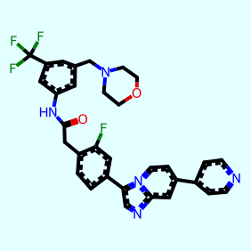 O=C(Cc1ccc(-c2cnc3cc(-c4ccncc4)ccn23)cc1F)Nc1cc(CN2CCOCC2)cc(C(F)(F)F)c1